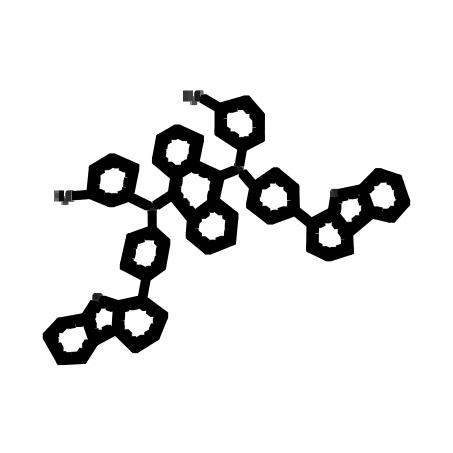 Cc1cccc(N(c2ccc(-c3cccc4c3oc3ccccc34)cc2)c2c3ccccc3c(N(c3ccc(-c4cccc5c4oc4ccccc45)cc3)c3cccc(C)c3)c3ccccc23)c1